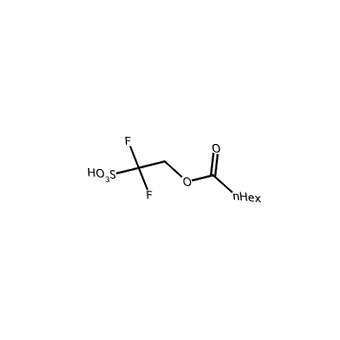 CCCCCCC(=O)OCC(F)(F)S(=O)(=O)O